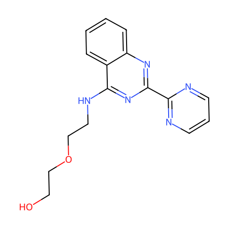 OCCOCCNc1nc(-c2ncccn2)nc2ccccc12